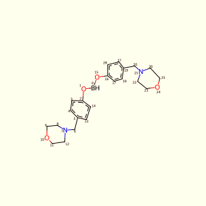 B(Oc1ccc(CN2CCOCC2)cc1)Oc1ccc(CN2CCOCC2)cc1